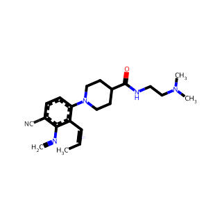 C=Nc1c(C#N)ccc(N2CCC(C(=O)NCCN(C)C)CC2)c1/C=C\C